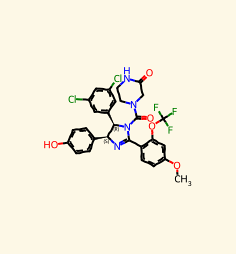 COc1ccc(C2=N[C@@H](c3ccc(O)cc3)[C@@H](c3cc(Cl)cc(Cl)c3)N2C(=O)N2CCNC(=O)C2)c(OC(F)(F)F)c1